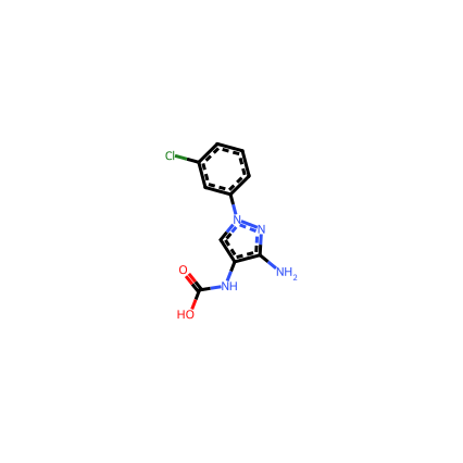 Nc1nn(-c2cccc(Cl)c2)cc1NC(=O)O